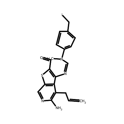 C=CCc1c(N)ncc2sc(C=O)c(/N=C\N(C)c3ccc(CI)cc3)c12